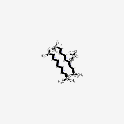 CN(C)/C=C/C=C/C=C/C=[N+](C)C.CN(C)/C=C/C=C/C=C/C=[N+](C)C.[Cl][Zn-2]([Cl])([Cl])[Cl]